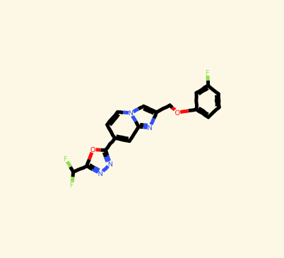 Fc1cccc(OCc2cn3ccc(-c4nnc(C(F)F)o4)cc3n2)c1